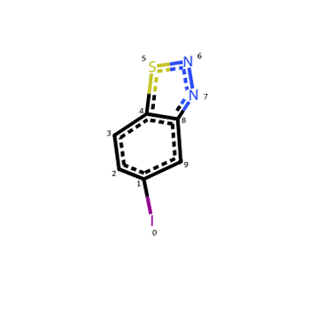 Ic1ccc2snnc2c1